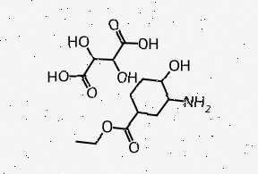 CCOC(=O)C1CCC(O)C(N)C1.O=C(O)C(O)C(O)C(=O)O